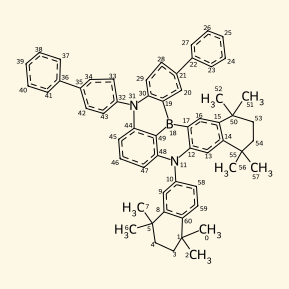 CC1(C)CCC(C)(C)c2cc(N3c4cc5c(cc4B4c6cc(-c7ccccc7)ccc6N(c6ccc(-c7ccccc7)cc6)c6cccc3c64)C(C)(C)CCC5(C)C)ccc21